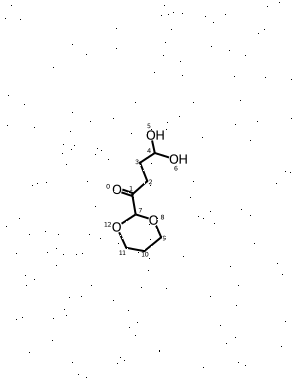 O=C(CCC(O)O)C1OCCCO1